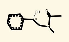 CC(=O)N(C)C[C@@H](O)c1ccccc1